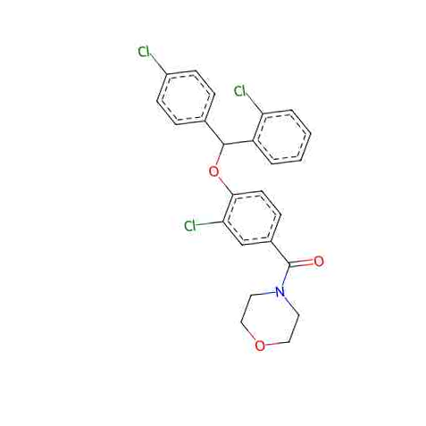 O=C(c1ccc(OC(c2ccc(Cl)cc2)c2ccccc2Cl)c(Cl)c1)N1CCOCC1